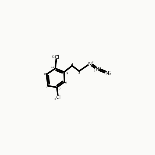 [N-]=[N+]=NCCc1cc(Cl)ccc1Cl